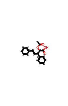 CC(=O)OC(C(=O)O)C(/C=C/c1ccccc1)c1ccccc1